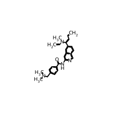 C=C/C=C(/c1ccc2cnc(NC(=O)c3ccc(CN(C)C)cc3)cc2c1)N(C)C=C